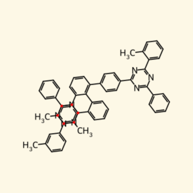 Cc1cccc(-c2nc(-c3ccccc3)nc(-c3ccccc3-c3c(-c4ccc(-c5nc(-c6ccccc6)nc(-c6ccccc6C)n5)cc4)cccc3-c3cc(C)nc(C)c3)n2)c1